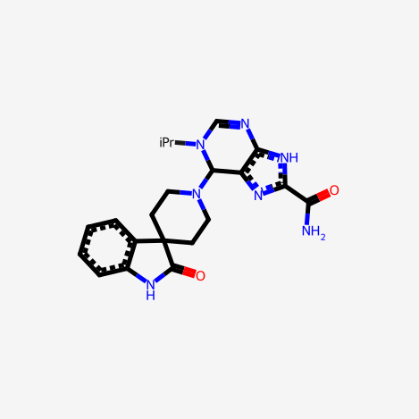 CC(C)N1C=Nc2[nH]c(C(N)=O)nc2C1N1CCC2(CC1)C(=O)Nc1ccccc12